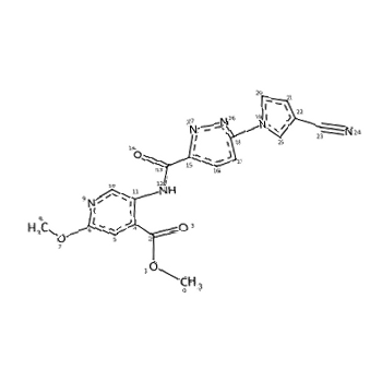 COC(=O)c1cc(OC)ncc1NC(=O)c1ccc(-n2ccc(C#N)c2)nn1